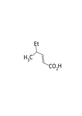 CCC(C)C=CC(=O)O